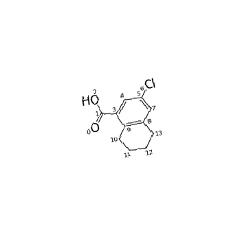 O=C(O)c1cc(Cl)cc2c1CCCC2